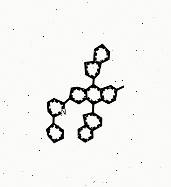 Cc1ccc2c(-c3ccc4ccccc4c3)c3cc(-c4cccc(-c5ccccc5)n4)ccc3c(-c3ccc4ccccc4c3)c2c1